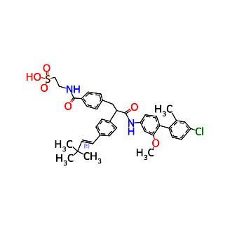 COc1cc(NC(=O)C(Cc2ccc(C(=O)NCCS(=O)(=O)O)cc2)c2ccc(/C=C/C(C)(C)C)cc2)ccc1-c1ccc(Cl)cc1C